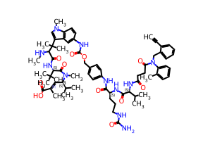 C#Cc1ccccc1CN(C(=O)CCC(=O)N[C@H](C(=O)N[C@@H](CCCNC(N)=O)C(=O)Nc1ccc(COC(=O)Nc2ccc3c(c2)c(C(C)(C)C(NC)C(=O)N[C@H](C(=O)N(C)[C@H](/C=C(\C)C(=O)O)C(C)C)C(C)(C)C)cn3C)cc1)C(C)C)c1ccccc1C